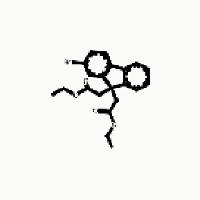 CCOC(=O)CC1(CC(=O)OCC)c2ccccc2-c2ccc(Br)cc21